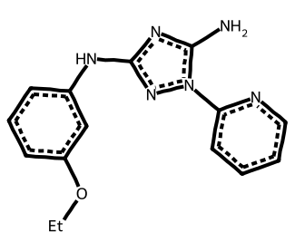 CCOc1cccc(Nc2nc(N)n(-c3ccccn3)n2)c1